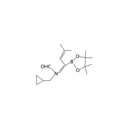 CC(C)=C/C(=C\N(C=O)CC1CC1)B1OC(C)(C)C(C)(C)O1